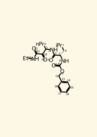 CCCC(NC(=O)[C@H](CC(C)C)NC(=O)OCc1ccccc1)C(=O)C(=O)NCC